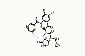 O=C(NC1CC1)C(=O)C(C[C@@H]1CCNC1=O)NC(=O)c1cc(Cl)c(F)cc1NC(=O)c1cncc(C(F)(F)F)c1